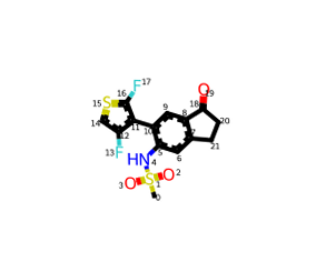 CS(=O)(=O)Nc1cc2c(cc1-c1c(F)csc1F)C(=O)CC2